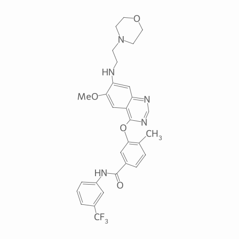 COc1cc2c(Oc3cc(C(=O)Nc4cccc(C(F)(F)F)c4)ccc3C)ncnc2cc1NCCN1CCOCC1